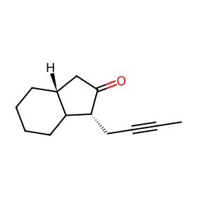 CC#CC[C@H]1C(=O)C[C@H]2CCCCC21